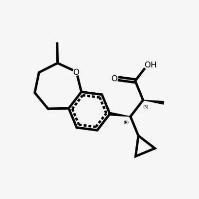 CC1CCCc2ccc([C@H](C3CC3)[C@H](C)C(=O)O)cc2O1